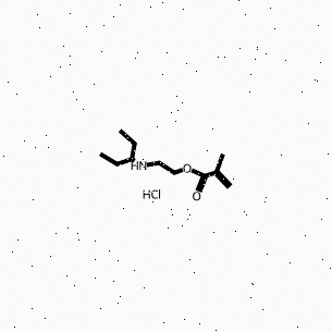 C=C(C)C(=O)OCCNC(CC)CC.Cl